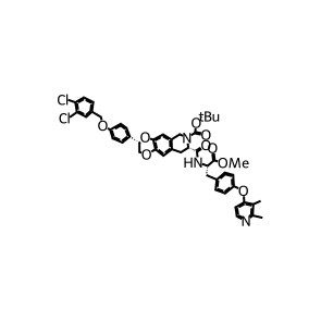 COC(=O)[C@H](Cc1ccc(Oc2ccnc(C)c2C)cc1)NC(=O)[C@@H]1Cc2cc3c(cc2CN1C(=O)OC(C)(C)C)O[C@@H](c1ccc(OCc2ccc(Cl)c(Cl)c2)cc1)CO3